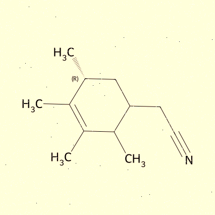 CC1=C(C)[C@H](C)CC(CC#N)C1C